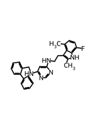 Cc1[nH]c2c(F)ccc(C)c2c1CCNc1cc(NCc2ccccc2-c2ccccc2)ncn1